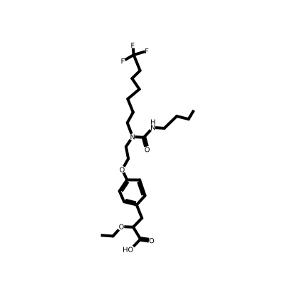 CCCCNC(=O)N(CCCCCCC(F)(F)F)CCOc1ccc(CC(OCC)C(=O)O)cc1